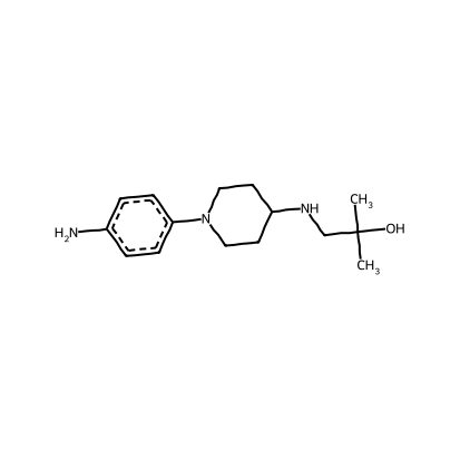 CC(C)(O)CNC1CCN(c2ccc(N)cc2)CC1